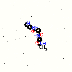 C=C1COc2cc(NC(=O)c3cccc(C(=O)Nc4ccc5cccnc5c4)c3)ccc2N1